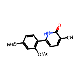 COc1cc(SC)ccc1-c1ccc(C#N)c(=O)[nH]1